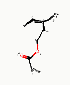 CC=C(CC)CCOC(=O)CCCCC